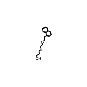 OCCCSCCOCCc1cccc2ccccc12